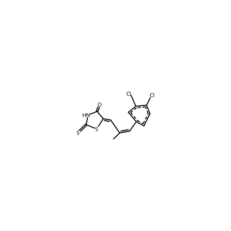 CC(=Cc1ccc(Cl)c(Cl)c1)C=C1SC(=S)NC1=O